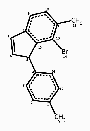 Cc1ccc(C2C=Cc3ccc(C)c(Br)c32)cc1